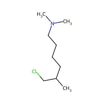 CC(CCl)CCCCN(C)C